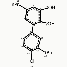 CCCc1cc(O)c(O)c(-c2ccc(O)c(C(C)(C)C)c2)c1